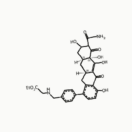 CCOC(=O)CNCc1ccc(-c2ccc(O)c3c2C[C@H]2C[C@H]4CC(O)C(C(N)=O)C(=O)[C@@]4(O)C(O)=C2C3=O)cc1